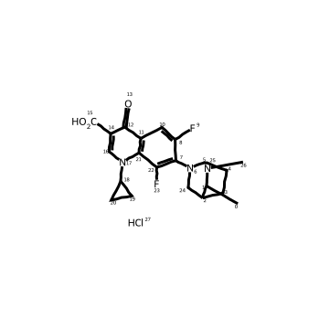 CC1C2CCC(N(c3c(F)cc4c(=O)c(C(=O)O)cn(C5CC5)c4c3F)C2)N1C.Cl